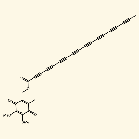 CC#CC#CC#CC#CC#CC#CC#CC#CC(=O)OCC1=C(C)C(=O)C(OC)=C(OC)C1=O